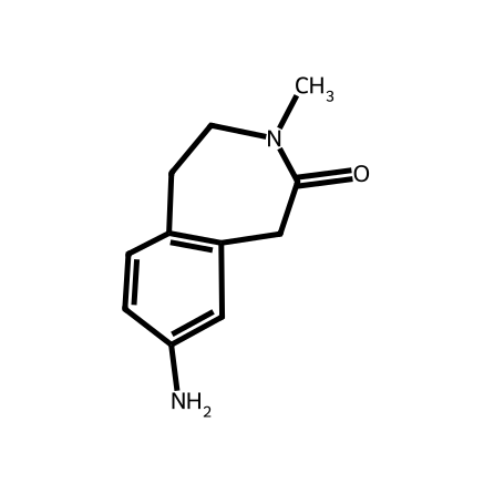 CN1CCc2ccc(N)cc2CC1=O